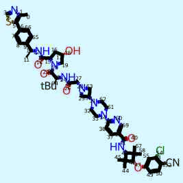 Cc1ncsc1-c1ccc([C@H](C)NC(=O)C2C[C@@H](O)CN2C(=O)[C@@H](NC(=O)CN2CC(N3CCN(c4ccc(C(=O)NC5C(C)(C)C(Oc6ccc(C#N)c(Cl)c6)C5(C)C)cn4)CC3)C2)C(C)(C)C)cc1